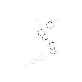 CC(=O)N1CC(N2CCC(c3cn(C)c4ncc(-c5nc6cc(C)c(C(OC(C)(C)C)C(=O)O)c(-c7ccc(Cl)cc7)c6s5)nc34)CC2)C1